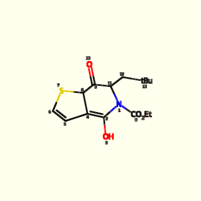 CCOC(=O)N1C(O)=C2C=CSC2C(=O)C1CC(C)(C)C